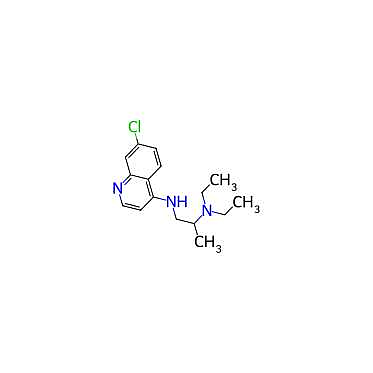 CCN(CC)C(C)CNc1ccnc2cc(Cl)ccc12